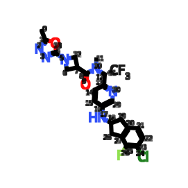 Cc1nnc(N2CC(C(=O)N(C)[C@@H](c3ccc(NC4Cc5ccc(Cl)c(F)c5C4)cn3)C(F)(F)F)C2)o1